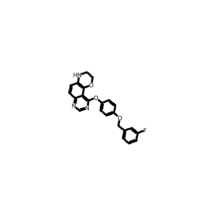 Fc1cccc(COc2ccc(Oc3ncnc4ccc5c(c34)OCCN5)cc2)c1